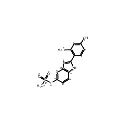 COc1cc(O)ccc1-c1nc2nc(OS(C)(=O)=O)ccc2[nH]1